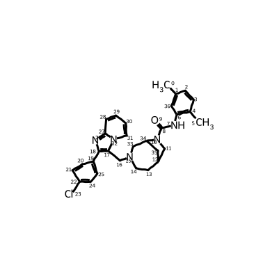 Cc1ccc(C)c(NC(=O)N2CC3CCN(Cc4c(-c5ccc(Cl)cc5)nc5ccccn45)CC2C3)c1